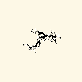 CCC(C)C(N)C(=O)NC(CC(C)C)C(=O)NC(C=O)CCCNC(=N)N